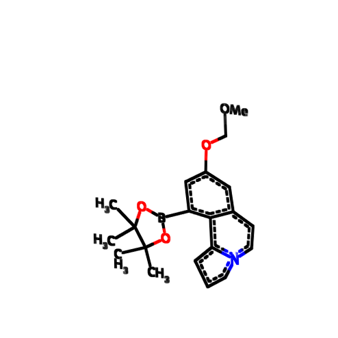 COCOc1cc(B2OC(C)(C)C(C)(C)O2)c2c(ccn3cccc23)c1